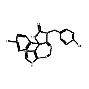 O=C1NC2(c3ccc(F)cc3)C(=NC=Nc3[nH]cnc32)N1Cc1ccc(O)cc1